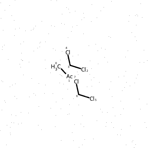 CC(C)=O.ClCCl.ClCCl